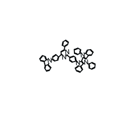 c1ccc(-c2cc(-c3ccc(-n4c5ccccc5c5ccccc54)cc3)nc(-c3ccc(-n4c5ccccc5c5c4c4c(c6ccccc6n4-c4ccccc4)n5-c4ccccc4)cc3)n2)cc1